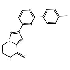 Cc1ccc(-c2nccc(-c3cc4n(n3)CCNC4=O)n2)cc1